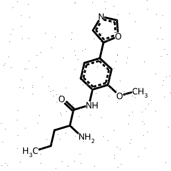 CCCC(N)C(=O)Nc1ccc(-c2cnco2)cc1OC